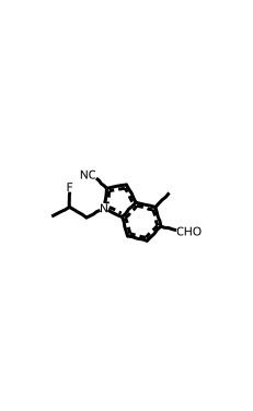 Cc1c(C=O)ccc2c1cc(C#N)n2CC(C)F